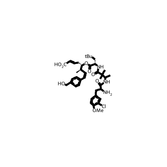 COc1ccc(CC(N)C(=O)NC(C)C(C)(C)C(=O)N[C@@H](CC(C)(C)C)C(=O)O[C@@H](CC=CC(=O)O)[C@H](C)C=Cc2ccc(CO)cc2)cc1Cl